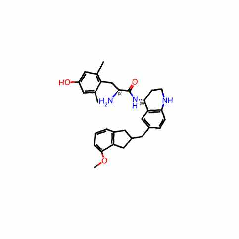 COc1cccc2c1CC(Cc1ccc3c(c1)[C@H](NC(=O)[C@@H](N)Cc1c(C)cc(O)cc1C)CCN3)C2